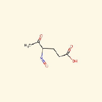 CC(=O)C(CCC(=O)O)N=O